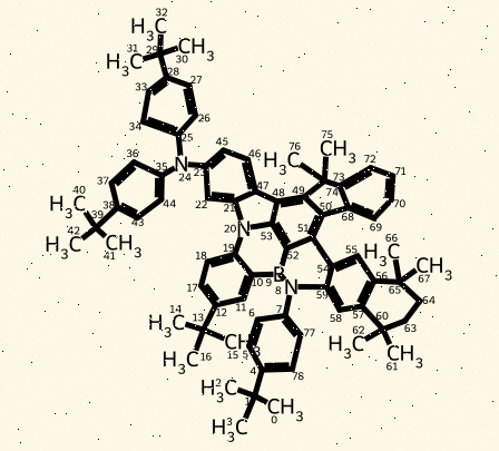 CC(C)(C)c1ccc(N2B3c4cc(C(C)(C)C)ccc4-n4c5cc(N(c6ccc(C(C)(C)C)cc6)c6ccc(C(C)(C)C)cc6)ccc5c5c6c(c(c3c54)-c3cc4c(cc32)C(C)(C)CCC4(C)C)-c2ccccc2C6(C)C)cc1